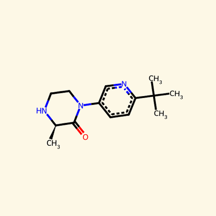 C[C@H]1NCCN(c2ccc(C(C)(C)C)nc2)C1=O